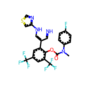 CN(C(=O)Oc1c(/C(C=N)=C/Nc2cscn2)cc(C(F)(F)F)cc1C(F)(F)F)c1ccc(F)cc1